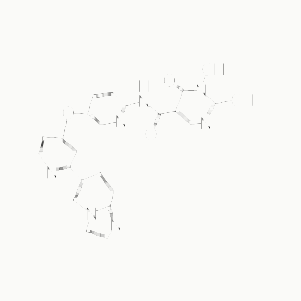 Cc1ncc(C(=O)Nc2ccc(Oc3ccnc(-c4ccc5nccn5c4)c3)cn2)c(=O)n1C